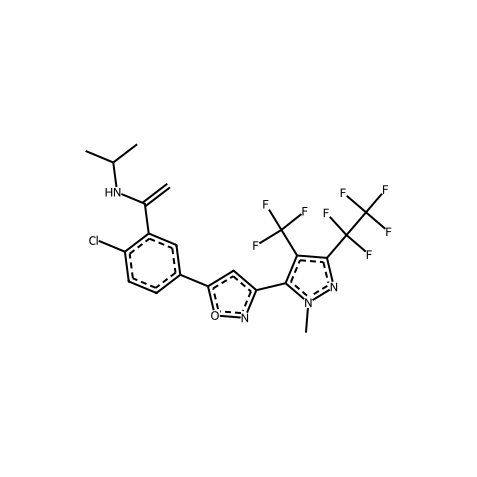 C=C(NC(C)C)c1cc(-c2cc(-c3c(C(F)(F)F)c(C(F)(F)C(F)(F)F)nn3C)no2)ccc1Cl